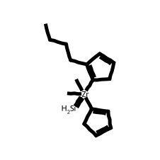 CCCCC1=[C]([Zr]([CH3])([CH3])(=[SiH2])[C]2=CC=CC2)CC=C1